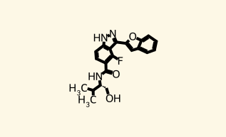 CC(C)[C@@H](CO)NC(=O)c1ccc2[nH]nc(-c3cc4ccccc4o3)c2c1F